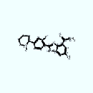 CN1CCCCC1c1ccc(-c2nc3c(C(N)=O)cc(Cl)cc3[nH]2)c(F)c1